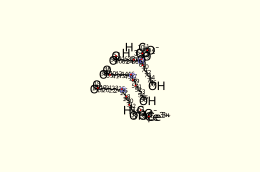 CCC(=O)[O-].CCC(=O)[O-].CCC(=O)[O-].O=C([O-])CCCCCCC/C=C\CCCCCCCCO.O=C([O-])CCCCCCC/C=C\CCCCCCCCO.O=C([O-])CCCCCCC/C=C\CCCCCCCCO.[Ce+3].[Ce+3]